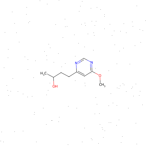 COc1cc(CCC(C)O)ncn1